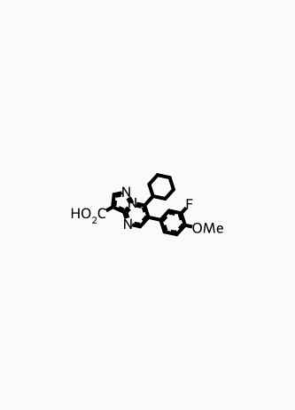 COc1ccc(-c2cnc3c(C(=O)O)cnn3c2C2CCCCC2)cc1F